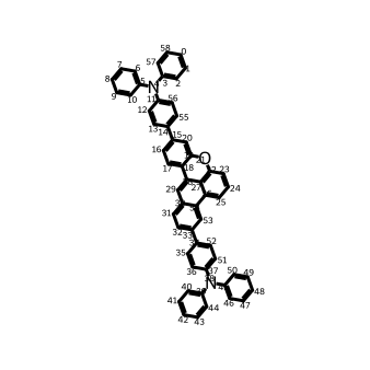 c1ccc(N(c2ccccc2)c2ccc(-c3ccc4c(c3)Oc3cccc5c3c-4cc3ccc(-c4ccc(N(c6ccccc6)c6ccccc6)cc4)cc35)cc2)cc1